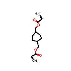 C=CC(=O)OCC1CCC(COC(=O)C=C)CC1